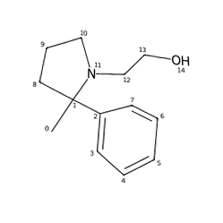 CC1(c2ccccc2)CCCN1CCO